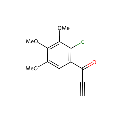 C#CC(=O)c1cc(OC)c(OC)c(OC)c1Cl